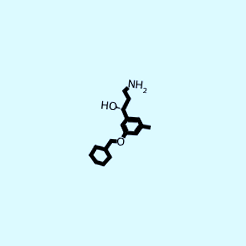 Cc1cc(OCC2CCCCC2)cc([C@H](O)CCN)c1